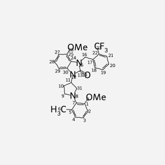 COc1cccc(C)c1N1CCC(n2c(=O)n(Cc3ccccc3C(F)(F)F)c3c(OC)cccc32)C1